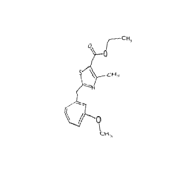 CCOC(=O)c1sc(Cc2cccc(OC)c2)nc1C